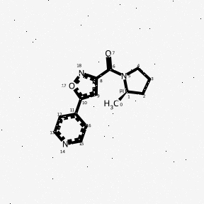 C[C@@H]1CCCN1C(=O)c1cc(-c2ccncc2)on1